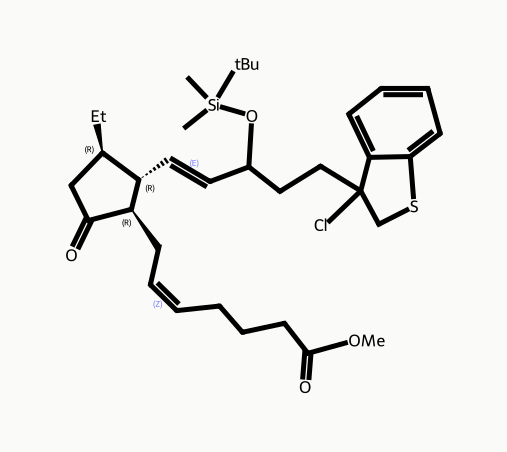 CC[C@@H]1CC(=O)[C@H](C/C=C\CCCC(=O)OC)[C@H]1/C=C/C(CCC1(Cl)CSc2ccccc21)O[Si](C)(C)C(C)(C)C